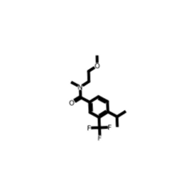 COCCN(C)C(=O)c1ccc(C(C)C)c(C(F)(F)F)c1